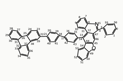 c1ccc(-c2nc3ccccc3c3c(-c4ccc(-c5ccc(-c6ccc7c8ccccc8c8ccccc8c7c6)cc5)cc4)c4c(cc23)oc2ccccc24)cc1